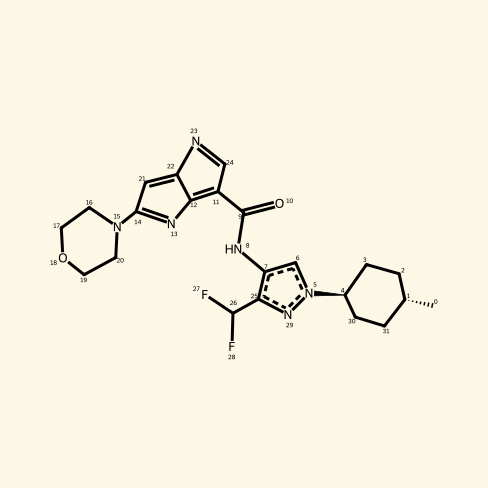 C[C@H]1CC[C@H](n2cc(NC(=O)C3=C4N=C(N5CCOCC5)C=C4N=C3)c(C(F)F)n2)CC1